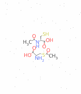 CC(=O)N[C@@H](CS)C(=O)O.CC(=O)SC[C@H](N)C(=O)O